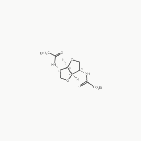 CCOC(=O)C(=O)N[C@H]1CO[C@H]2[C@@H]1OC[C@@H]2NC(=O)C(=O)OCC